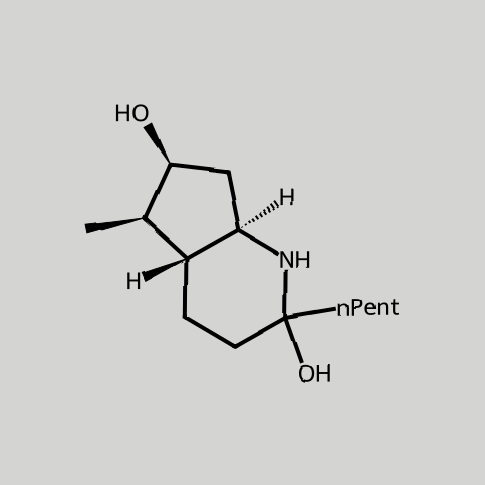 CCCCCC1(O)CC[C@@H]2[C@@H](C)[C@@H](O)C[C@H]2N1